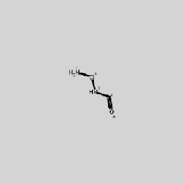 NONC=O